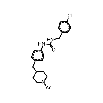 CC(=O)N1CCC(Cc2ccc(NC(=O)NCc3ccc(Cl)cc3)cc2)CC1